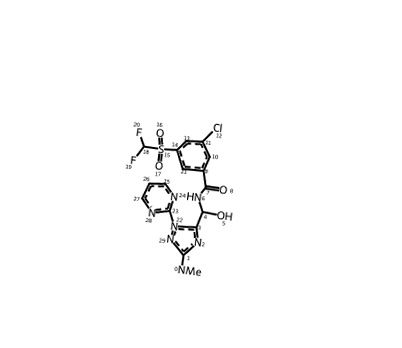 CNc1nc(C(O)NC(=O)c2cc(Cl)cc(S(=O)(=O)C(F)F)c2)n(-c2ncccn2)n1